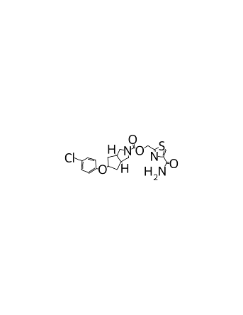 NC(=O)c1csc(COC(=O)N2C[C@H]3C[C@@H](Oc4ccc(Cl)cc4)C[C@H]3C2)n1